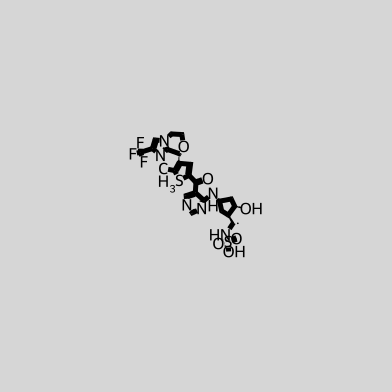 Cc1sc(C(=O)c2cncnc2N[C@H]2C[C@H](O)[C@@H]([CH]NS(=O)(=O)O)C2)cc1[C@H]1OCCn2cc(C(F)(F)F)nc21